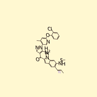 C/C=C/c1cc2cc(C(=O)c3cnn(-c4cnc(Oc5ccccc5Cl)cc4C)c3N)[nH]c2cc1NSC